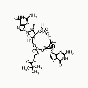 CC(C)(C)C(=O)OCSP1(=O)OC[C@H]2O[C@@H](n3cnc4c(=O)[nH]c(N)nc43)[C@@H](F)C2OP(=O)(S)OC[C@H]2O[C@@H](n3cnc4c(=O)[nH]c(N)nc43)[C@@H](O1)C2O